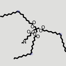 CCCCCCCC/C=C\CCCCCCCC(=O)OCC(COC(=O)CCCCCCC/C=C\CCCCCCCC)(COC(=O)CCCCCCC/C=C\CCCCCCCC)COC(=O)CCCCN(C)C